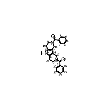 O=C(c1ccccc1)N1CCc2[nH]c3c(c2C1)CN(C(=O)c1ccccc1)CC3